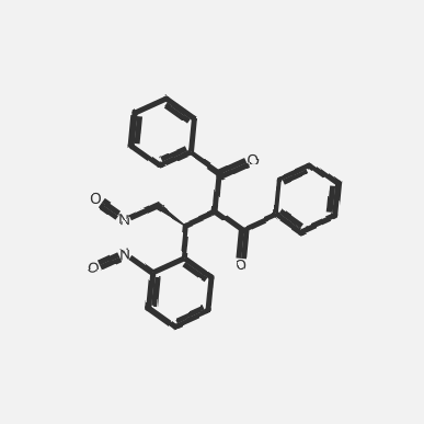 O=NC[C@H](c1ccccc1N=O)C(C(=O)c1ccccc1)C(=O)c1ccccc1